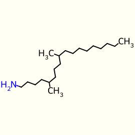 CCCCCCCCCC(C)CCCC(C)CCCCN